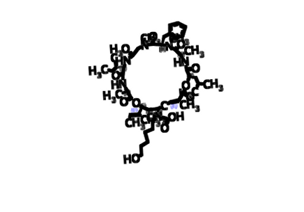 C/C=C(\C)[C@H]1OC(=O)[C@@H](C)NC(=O)[C@H](C(C)CC)NC(=O)CN(C)C(=O)[C@@H](Cc2ccccc2)N(C)C(=O)[C@H](C)NC(=O)[C@@H](CC(C)C)OC(=O)/C(C)=C/C[C@H](N(CCCCCCO)C(=O)O)[C@@H]1C